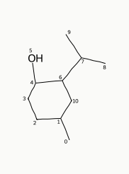 CC1CCC(O)C(C(C)C)C1